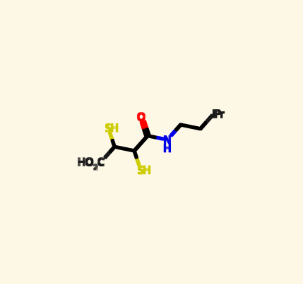 CC(C)CCNC(=O)C(S)C(S)C(=O)O